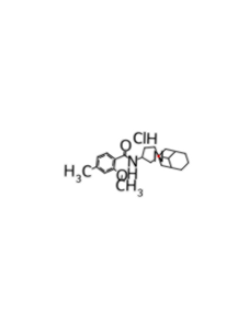 COc1cc(C)ccc1C(=O)NC1CCN(C2C3CCCC2CCC3)C1.Cl